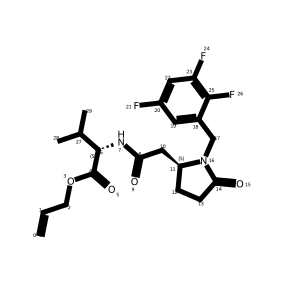 C=CCOC(=O)[C@@H](NC(=O)C[C@@H]1CCC(=O)N1Cc1cc(F)cc(F)c1F)C(C)C